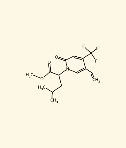 C=Cc1cn(C(CC(C)C)C(=O)OC)c(=O)cc1C(F)(F)F